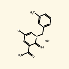 Br.Cc1cccc(Cn2cc(Cl)cc(C(N)=O)c2=N)c1